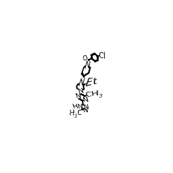 CC[C@H]1CN(c2ncc(-c3nnc(C)[nH]3)nc2C)CCN1C1CCN(C(=O)c2ccc(Cl)cc2)CC1